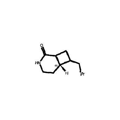 CC(C)CC1CC2C(=O)NCC[C@@H]12